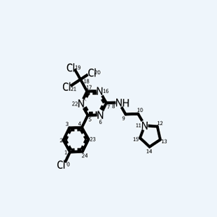 Clc1ccc(-c2nc(NCCN3CCCC3)nc(C(Cl)(Cl)Cl)n2)cc1